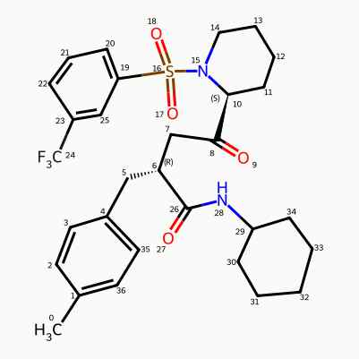 Cc1ccc(C[C@H](CC(=O)[C@@H]2CCCCN2S(=O)(=O)c2cccc(C(F)(F)F)c2)C(=O)NC2CCCCC2)cc1